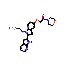 O=C(O)CCn1c(-c2cc3cccnc3[nH]2)cc2cc(OCC(=O)N3CCOCC3)ccc21